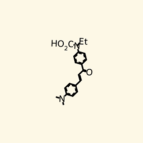 CCN(C(=O)O)c1ccc(C(=O)C=Cc2ccc(N(C)C)cc2)cc1